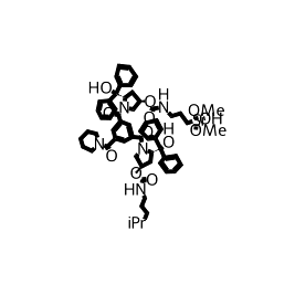 CO[Si](O)(CCCNC(=O)O[C@@H]1C[C@@H](C(O)(c2ccccc2)c2ccccc2)N(C(=O)c2cc(C(=O)N3CCCCC3)cc(C(=O)N3C[C@H](OC(=O)NCCCC(C)C)C[C@H]3C(O)(c3ccccc3)c3ccccc3)c2)C1)OC